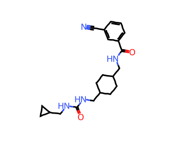 N#Cc1cccc(C(=O)NCC2CCC(CNC(=O)NCC3CC3)CC2)c1